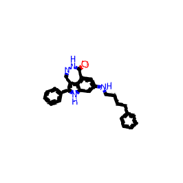 O=C1NN=Cc2c(-c3ccccc3)[nH]c3cc(NCCCCc4ccccc4)cc1c23